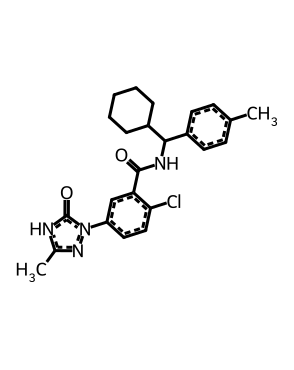 Cc1ccc(C(NC(=O)c2cc(-n3nc(C)[nH]c3=O)ccc2Cl)C2CCCCC2)cc1